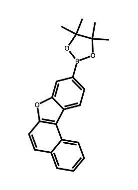 CC1(C)OB(c2ccc3c(c2)oc2ccc4ccccc4c23)OC1(C)C